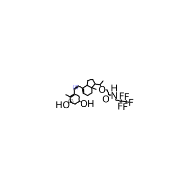 CC1=C(/C=C\C2=CCCC3(C)C2CCC3C(C)OCC(=O)NCC(F)(F)C(F)(F)F)CC(O)C[C@@H]1O